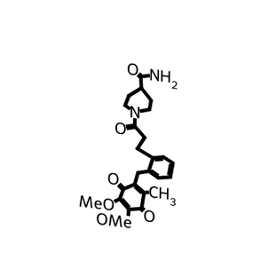 COC1=C(OC)C(=O)C(Cc2ccccc2CCC(=O)N2CCC(C(N)=O)CC2)=C(C)C1=O